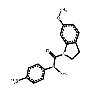 Bc1ccc(N(N)C(=O)N2CCc3ccc(OC)cc32)cc1